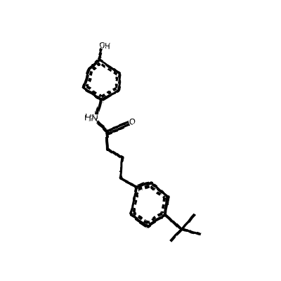 CC(C)(C)c1ccc(CCCC(=O)Nc2ccc(O)cc2)cc1